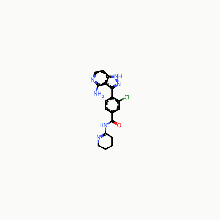 Nc1nccc2[nH]nc(-c3ccc(C(=O)NC4=NCCCC4)cc3Cl)c12